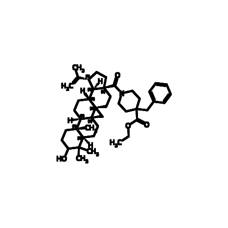 C=C(C)[C@@H]1CC[C@]2(C(=O)N3CCC(Cc4ccccc4)(C(=O)OCC)CC3)CC[C@@]34C[C@]35CC[C@H]3C(C)(C)C(O)CC[C@]3(C)[C@H]5CC[C@@H]4[C@@H]12